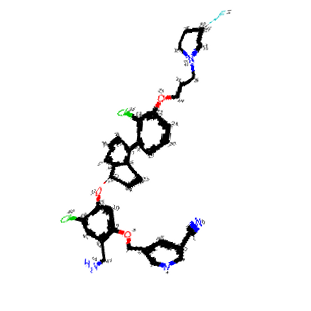 N#Cc1cncc(COc2cc(O[C@H]3CCc4c(-c5cccc(OCCCN6CC[C@H](F)C6)c5Cl)cccc43)c(Cl)cc2CN)c1